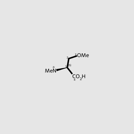 CN[C@@H](COC)C(=O)O